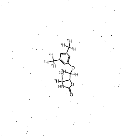 [2H]C([2H])([2H])c1cc(OC([2H])([2H])C2OC(=O)NC2([2H])[2H])cc(C([2H])([2H])[2H])c1